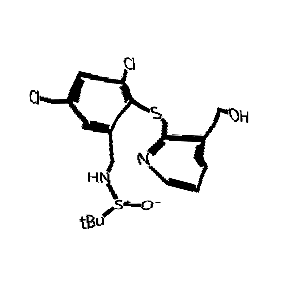 CC(C)(C)[S+]([O-])NCc1cc(Cl)cc(Cl)c1Sc1ncccc1CO